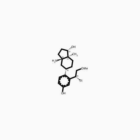 CC[C@@H](COC)c1cc(O)ccc1[C@H]1CC[C@]2(C)[C@@H](O)CC[C@@]2(N)C1